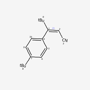 CC(C)(C)/C(=C/C#N)c1ccc(C(C)(C)C)cc1